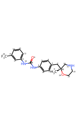 C[C@@]1(Cc2ccc(NC(=O)Nc3cccc(C(F)(F)F)c3)cc2)CNCCO1